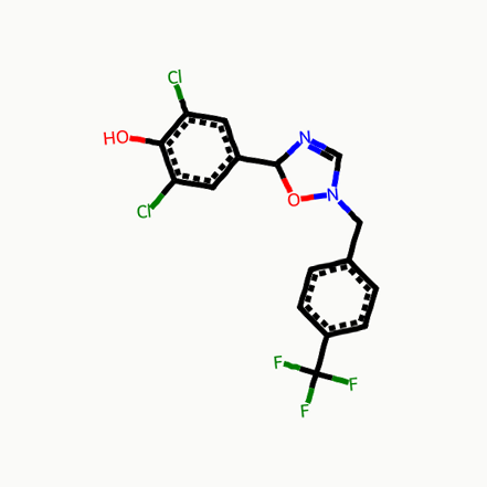 Oc1c(Cl)cc(C2N=CN(Cc3ccc(C(F)(F)F)cc3)O2)cc1Cl